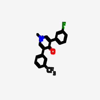 Cn1cc(-c2cccc(F)c2)c(=O)c(-c2cccc(C(F)(F)F)c2)c1